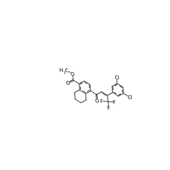 COC(=O)c1ccc(C(=O)C=C(c2cc(Cl)cc(Cl)c2)C(F)(F)F)c2c1CCCC2